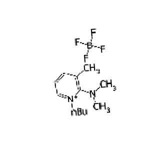 CCCC[n+]1cccc(C)c1N(C)C.F[B-](F)(F)F